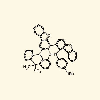 CC(C)(C)c1ccc(N2B3c4cccc5c4N(c4ccccc4C5(C)C)c4cc5c(oc6ccccc65)c(c43)-c3ccc4sc5ccccc5c4c32)cc1